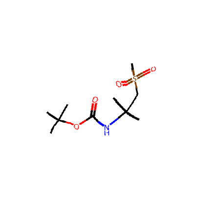 CC(C)(CS(C)(=O)=O)NC(=O)OC(C)(C)C